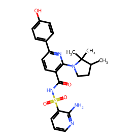 CC1CCN(c2nc(-c3ccc(O)cc3)ccc2C(=O)NS(=O)(=O)c2cccnc2N)C1(C)C